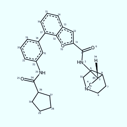 O=C(N[C@H]1CN2CCC1CC2)c1cc2cccc(-c3cccc(NC(=O)C4CCCC4)c3)c2o1